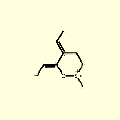 CC=C1CC[SiH](C)OC1=CC